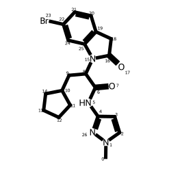 Cn1ccc(NC(=O)C(CC2CCCC2)N2C(=O)Cc3ccc(Br)cc32)n1